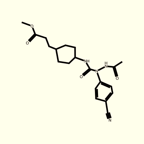 COC(=O)CCC1CCC(NC(=O)N(NC(C)=O)c2ccc(C#N)cc2)CC1